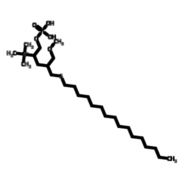 CCCCCCCCCCCCCCCCSCC(COC)CC(COP(=O)(O)O)[N+](C)(C)C